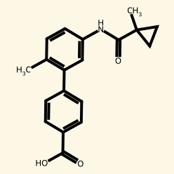 Cc1ccc(NC(=O)C2(C)CC2)cc1-c1ccc(C(=O)O)cc1